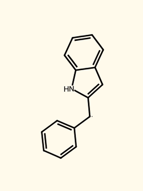 [CH](c1ccccc1)c1cc2ccccc2[nH]1